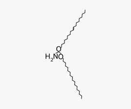 CCCCCCCCC=CCCCCCCCCOC(CN)COCCCCCCCCCCCCCCCCCC